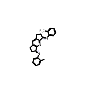 Cc1ccccc1/N=C1\CCc2cc3c(nc21)/C(=N/c1ccccc1C(F)(F)F)CC3